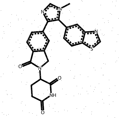 Cn1cnc(-c2ccc3c(c2)CN(C2CCC(=O)NC2=O)C3=O)c1-c1ccc2scnc2c1